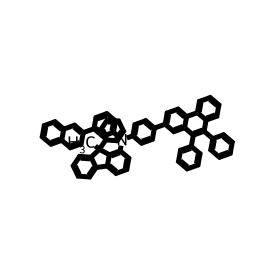 CC1(c2ccccc2)c2ccccc2-c2cccc(N(c3ccc(-c4ccc5c(c4)c(-c4ccccc4)c(-c4ccccc4)c4ccccc45)cc3)c3cccc(-c4ccc5ccccc5c4)c3)c21